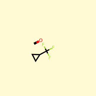 C=O.FC(F)(F)C1CC1